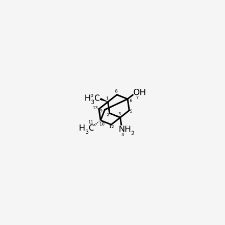 C[C@]12CC3(N)CC(O)(C1)C[C@@](C)(C3)C2